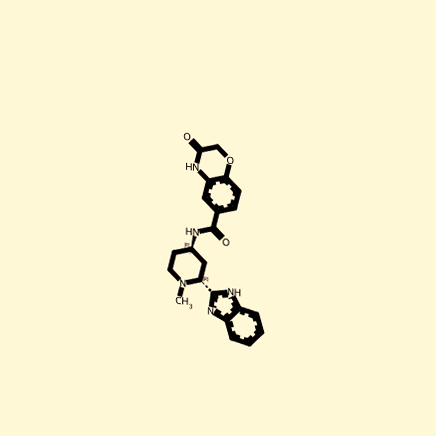 CN1CC[C@@H](NC(=O)c2ccc3c(c2)NC(=O)CO3)C[C@@H]1c1nc2ccccc2[nH]1